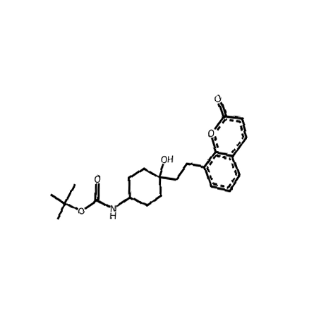 CC(C)(C)OC(=O)NC1CCC(O)(CCc2cccc3ccc(=O)oc23)CC1